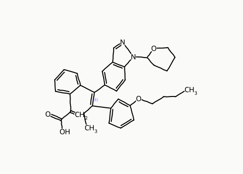 C=C(C(=O)O)c1ccccc1/C(=C(\CC)c1cccc(OCCCC)c1)c1ccc2c(cnn2C2CCCCO2)c1